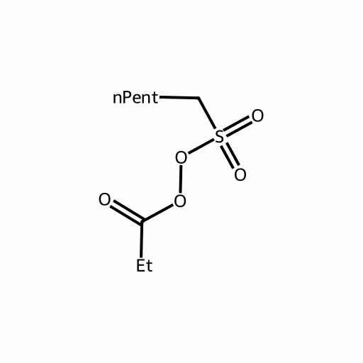 CCCCCCS(=O)(=O)OOC(=O)CC